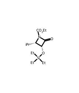 CCOC(=O)N1C(=O)[C@H](O[Si](CC)(CC)CC)[C@@H]1C(C)C